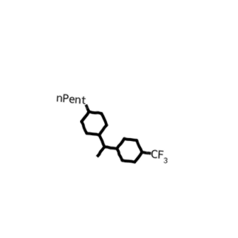 CCCCCC1CCC(C(C)C2CCC(C(F)(F)F)CC2)CC1